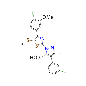 COc1cc(-c2nc(-n3nc(C)c(-c4cccc(F)c4)c3C(=O)O)sc2SC(C)C)ccc1F